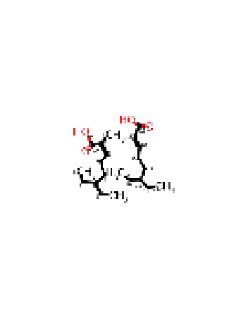 CCC(CC)CCC=C(C)C(=O)O.CCC(CC)CCC=CC(=O)O